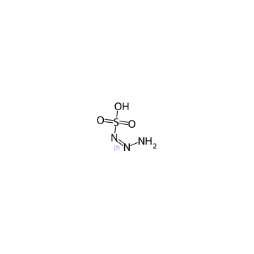 N/N=N\S(=O)(=O)O